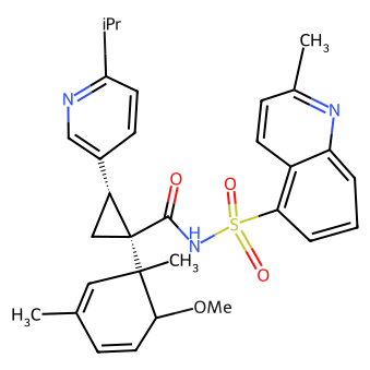 COC1C=CC(C)=CC1(C)[C@]1(C(=O)NS(=O)(=O)c2cccc3nc(C)ccc23)C[C@@H]1c1ccc(C(C)C)nc1